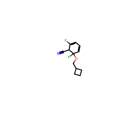 N#CC1C(F)=CC=CC1(F)OCC1CCC1